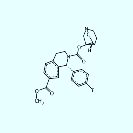 COC(=O)c1ccc2c(c1)[C@@H](c1ccc(F)cc1)N(C(=O)O[C@@H]1CN3CCC1CC3)CC2